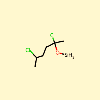 CC(Cl)CCC(C)(Cl)O[SiH3]